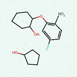 O=[N+]([O-])c1ccc(F)cc1OC1CCCCC1O.OC1CCCC1